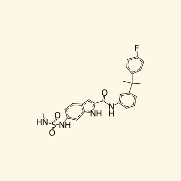 CNS(=O)(=O)Nc1ccc2cc(C(=O)Nc3cccc(C(C)(C)c4ccc(F)cc4)c3)[nH]c2c1